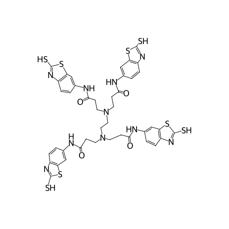 O=C(CCN(CCC(=O)Nc1ccc2nc(S)sc2c1)CCN(CCC(=O)Nc1ccc2nc(S)sc2c1)CCC(=O)Nc1ccc2nc(S)sc2c1)Nc1ccc2nc(S)sc2c1